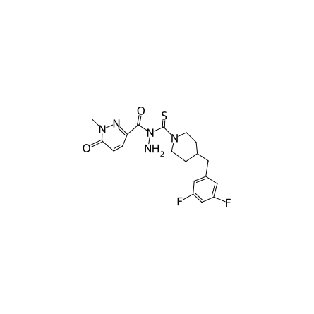 Cn1nc(C(=O)N(N)C(=S)N2CCC(Cc3cc(F)cc(F)c3)CC2)ccc1=O